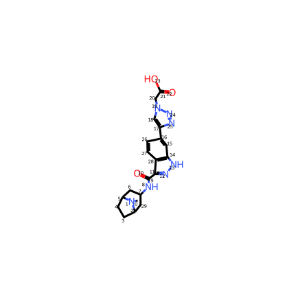 CN1C2CCC1CC(NC(=O)c1n[nH]c3cc(-c4cn(CC(=O)O)nn4)ccc13)C2